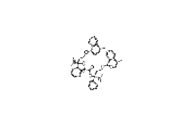 Cc1ccc(OCCC(OC(=O)C(=O)OC(CCOc2ccc(C)c3ccccc23)(c2ccccc2)N(C)C)(c2ccccc2)N(C)C)c2ccccc12